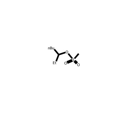 CCCCC(CC)OS(C)(=O)=O